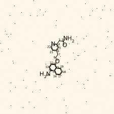 NC(=O)Cc1cc(CCOc2ccc(N)c3ccccc23)ccn1